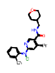 CC(C)c1cc(N(Cl)c2ccccc2C#N)ncc1C(=O)NCC1CCOCC1